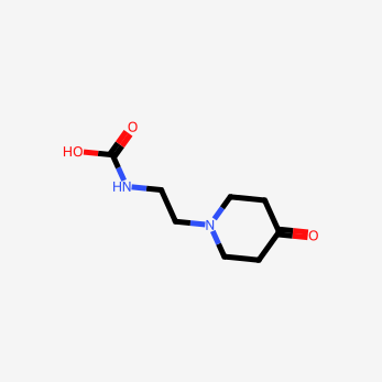 O=C1CCN(CCNC(=O)O)CC1